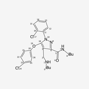 CCC(C)NCc1c(C(=O)NC(C)CC)nn(-c2ccccc2Cl)c1Oc1ccc(Cl)cc1